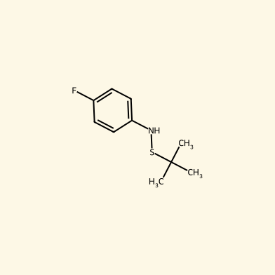 CC(C)(C)SNc1ccc(F)cc1